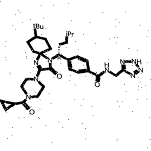 CC(C)CC[C@H](c1ccc(C(=O)NCc2nn[nH]n2)cc1)N1C(=O)C(N2CCN(C(=O)C3CC3)CC2)=NC12CCC(C(C)(C)C)CC2